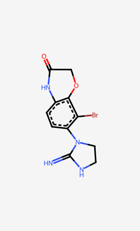 N=C1NCCN1c1ccc2c(c1Br)OCC(=O)N2